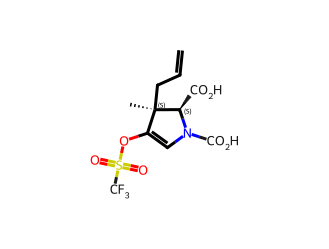 C=CC[C@]1(C)C(OS(=O)(=O)C(F)(F)F)=CN(C(=O)O)[C@@H]1C(=O)O